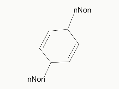 CCCCCCCCCC1C=CC(CCCCCCCCC)C=C1